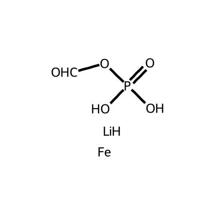 O=COP(=O)(O)O.[Fe].[LiH]